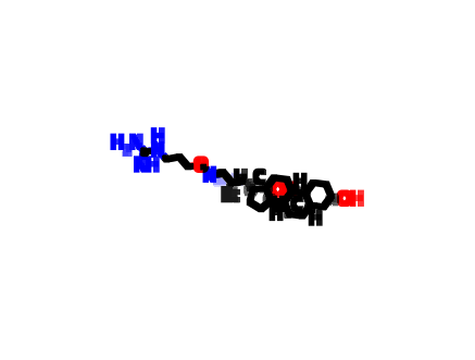 CCC(/C=N/OCCCNC(=N)N)=C\[C@H]1CC[C@]2(O)[C@@H]3CC[C@@H]4C[C@@H](O)CC[C@]4(C)[C@H]3CC[C@]12C